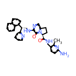 Cc1nc(N)ccc1CNC(=O)[C@@H]1CCc2cnc(NC[C@H](c3ccccn3)c3cccc4ccccc34)c(=O)n21